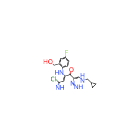 N=N/C(=C\NCC1CC1)C(=O)/C(=C/C(=N)Cl)Nc1ccc(F)cc1CO